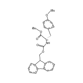 CCC(C)OC(=O)[C@H](Cc1ccc(OC(C)(C)C)cc1)NC(=O)OCC1c2ccccc2-c2ccccc21